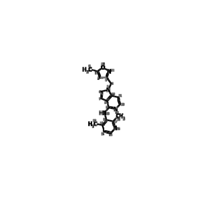 Cc1cc(Cn2ccc3c(Nc4c(C)ccnc4C)nccc32)no1